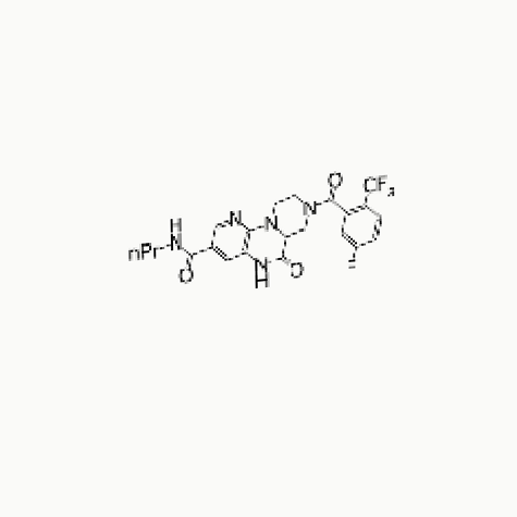 CCCNC(=O)c1cnc2c(c1)NC(=O)C1CN(C(=O)c3cc(F)ccc3C(F)(F)F)CCN21